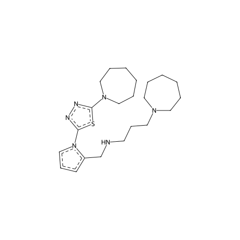 c1cc(CNCCCN2CCCCCC2)n(-c2nnc(N3CCCCCC3)s2)c1